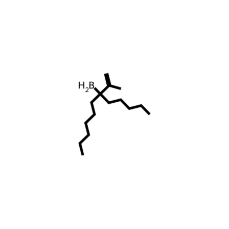 BC(CCCCC)(CCCCCC)C(=C)C